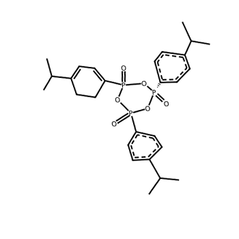 CC(C)C1=CC=C(P2(=O)OP(=O)(c3ccc(C(C)C)cc3)O[P@@](=O)(c3ccc(C(C)C)cc3)O2)CC1